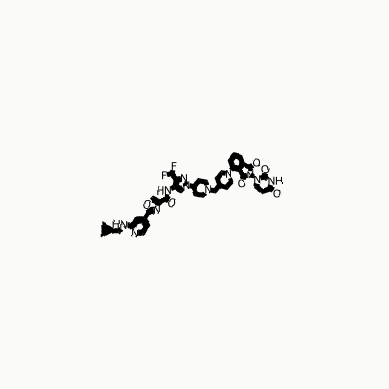 O=C1CCN(N2C(=O)c3cccc(N4CCC(CN5CCC(n6cc(NC(=O)c7coc(-c8ccnc(NCC9CC9)c8)n7)c(C(F)F)n6)CC5)CC4)c3C2=O)C(=O)N1